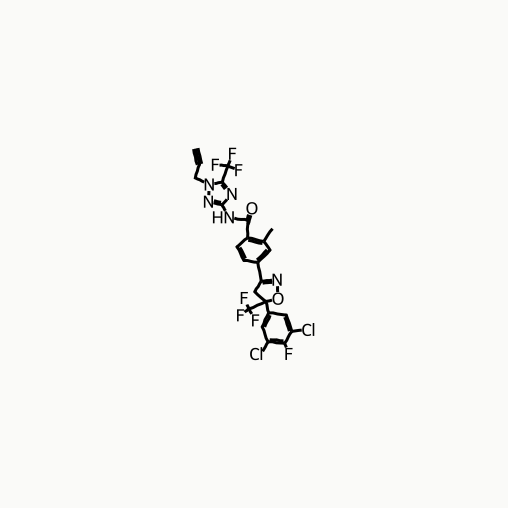 C#CCn1nc(NC(=O)c2ccc(C3=NOC(c4cc(Cl)c(F)c(Cl)c4)(C(F)(F)F)C3)cc2C)nc1C(F)(F)F